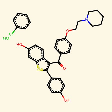 Cl.Clc1ccccc1.O=C(c1ccc(OCCN2CCCCC2)cc1)c1c(-c2ccc(O)cc2)sc2cc(O)ccc12